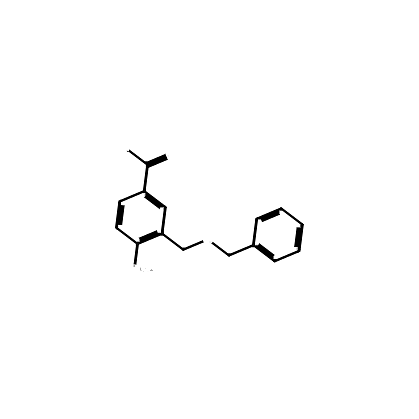 COc1ccc(C(=O)Cl)cc1CSCc1ccccc1